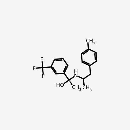 Cc1ccc(C[C@@H](C)N[C@](C)(O)c2cccc(C(F)(F)F)c2)cc1